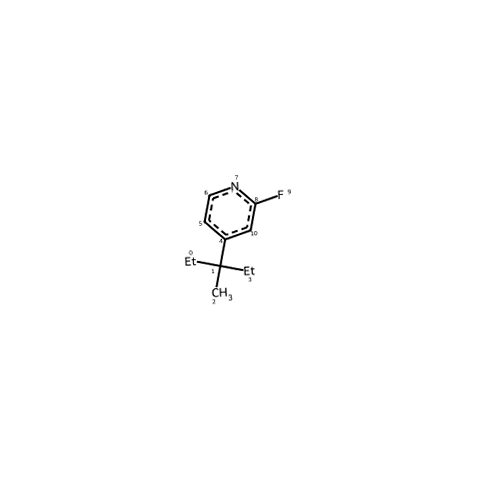 CCC(C)(CC)c1ccnc(F)c1